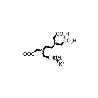 O=C([O-])CN(CCN(CC(=O)O)CC(=O)O)CC(=O)O.[Cl-].[K+].[K+]